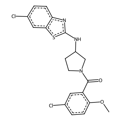 COc1ccc(Cl)cc1C(=O)N1CCC(Nc2nc3ccc(Cl)cc3s2)C1